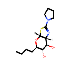 CCCC[C@H]1O[C@@H]2SC(N3CCCC3)=N[C@@H]2[C@@H](O)[C@@H]1O